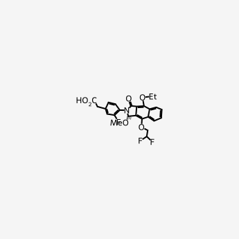 CCOc1c2c(c(OCC(F)F)c3ccccc13)[C@H](OC)N(c1ccc(CC(=O)O)cc1F)C2=O